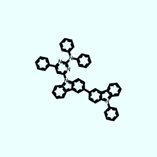 c1ccc(-c2cc(-n3c4ccccc4c4cc(-c5ccc6c(c5)c5ccccc5n6-c5ccccc5)ccc43)nc(N(c3ccccc3)c3ccccc3)n2)cc1